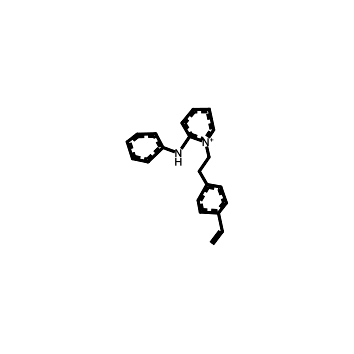 C=Cc1ccc(CC[n+]2ccccc2Nc2ccccc2)cc1